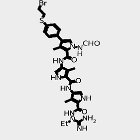 CCN(NC(=O)c1[nH]cc(NC(=O)c2[nH]cc(NC(=O)c3c(C)c(-c4ccc(SCCBr)cc4)cn3NC=O)c2C)c1C)C(=N)N